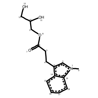 Cn1cc(CCC(=O)OCC(O)CO)c2ccccc21